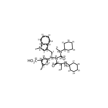 Cc1oc([C@@H](Cc2cn(C)c3ccccc23)N(C(=O)C(C)NC2CCCCC2)C(=O)N(C)C2CCCCC2)nc1C(=O)O